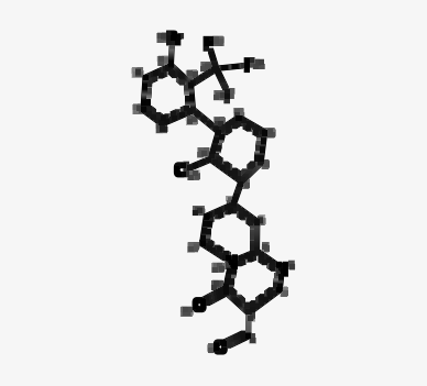 O=Cc1cnc2cc(-c3cccc(-c4cccc(Br)c4C(F)(F)F)c3Cl)ccn2c1=O